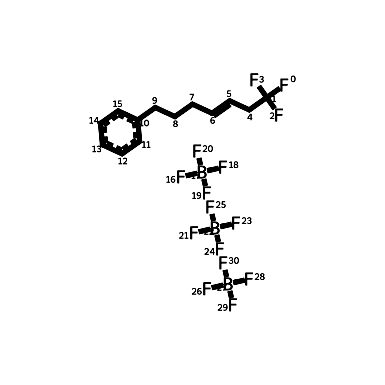 FC(F)(F)CC=CCCCc1ccccc1.F[B-](F)(F)F.F[B-](F)(F)F.F[B-](F)(F)F